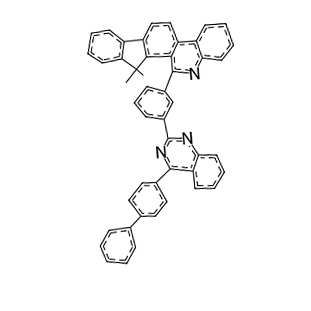 CC1(C)c2ccccc2-c2ccc3c(c(-c4cccc(-c5nc(-c6ccc(-c7ccccc7)cc6)c6ccccc6n5)c4)nc4ccccc43)c21